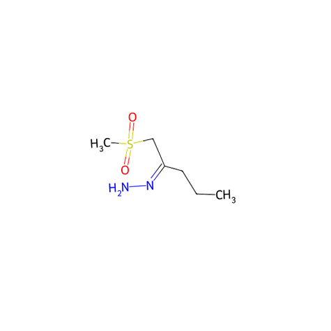 CCCC(CS(C)(=O)=O)=NN